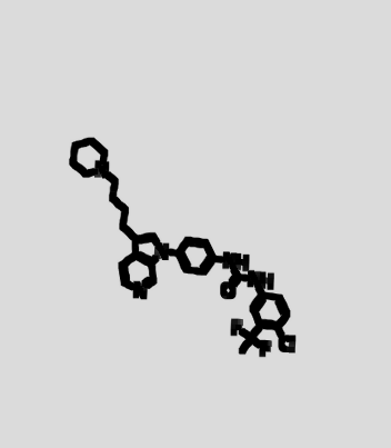 CC(F)(F)c1cc(NC(=O)Nc2ccc(-n3cc(CCCCN4CCCCC4)c4ccncc43)cc2)ccc1Cl